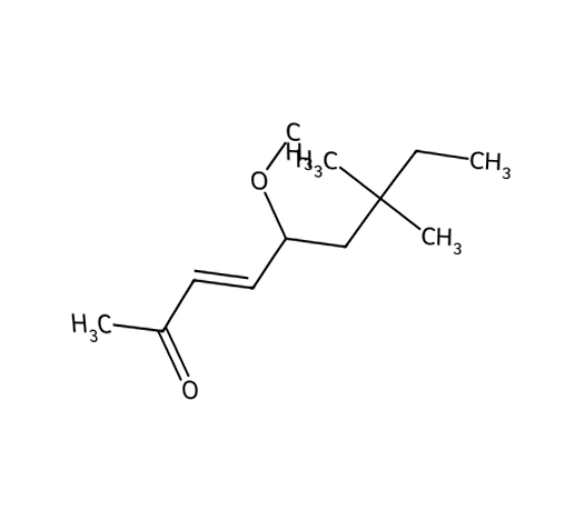 CCC(C)(C)CC(/C=C/C(C)=O)OC